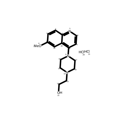 COc1ccc2nccc(N3CCN(CCO)CC3)c2c1.Cl.Cl